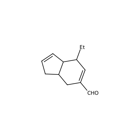 CCC1C=C(C=O)CC2CC=CC12